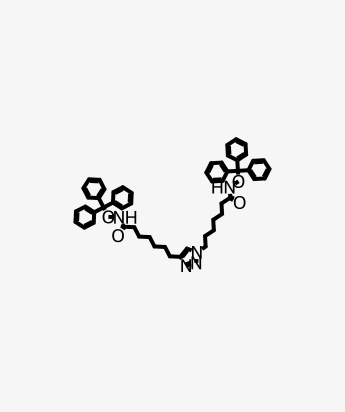 O=C(CCCCCCc1cn(CCCCCCC(=O)NOC(c2ccccc2)(c2ccccc2)c2ccccc2)nn1)NOC(c1ccccc1)(c1ccccc1)c1ccccc1